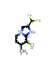 Cc1ccn2cc(C(F)F)nc2c1Cl